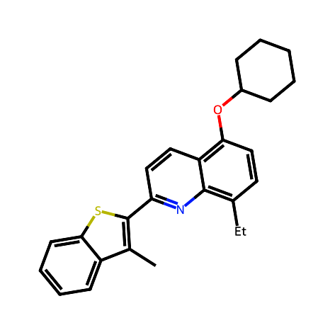 CCc1ccc(OC2CCCCC2)c2ccc(-c3sc4ccccc4c3C)nc12